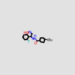 CC(C)(C)c1ccc(C(=O)N/N=C(\C=N/O)c2ccccc2F)cc1